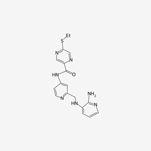 CCSc1cnc(C(=O)Nc2ccnc(CNc3cccnc3N)c2)cn1